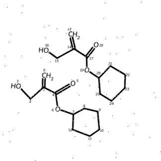 C=C(CO)C(=O)OC1CCCCC1.C=C(CO)C(=O)OC1CCCCC1